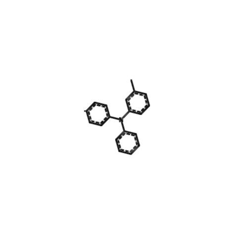 Cc1cccc(N(c2cc[c]cc2)c2ccccc2)c1